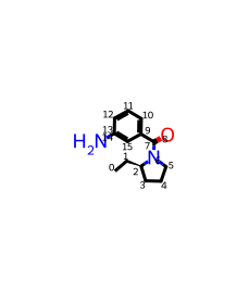 CC[C@@H]1CCCN1C(=O)c1cccc(N)c1